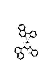 c1ccc2c(-c3nc(-n4c5ccccc5c5c6ccccc6ccc54)nc4c3sc3ccccc34)cccc2c1